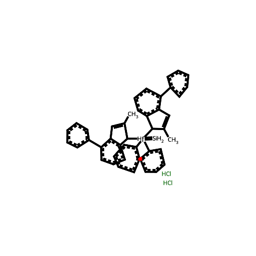 CC1=Cc2c(-c3ccccc3)cccc2[CH]1[Hf](=[SiH2])([c]1ccccc1)([c]1ccccc1)[CH]1C(C)=Cc2c(-c3ccccc3)cccc21.Cl.Cl